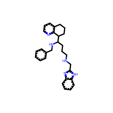 c1ccc(CNC(CCCNCc2nc3ccccc3[nH]2)C2CCCc3cccnc32)cc1